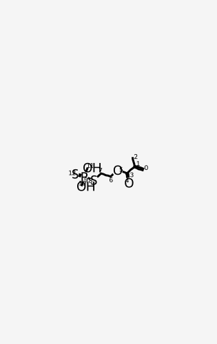 C=C(C)C(=O)OCCSP(O)(O)=S